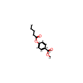 [CH2]CCCC(=O)Oc1ccc(C(=O)OC)cc1